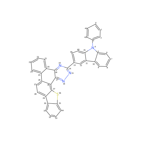 c1ccc(-n2c3ccccc3c3cc(-c4nnc5c(n4)c4ccccc4c4ccc6c7ccccc7sc6c45)ccc32)cc1